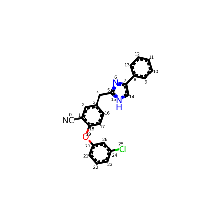 N#Cc1cc(Cc2nc(-c3ccccc3)c[nH]2)ccc1Oc1cccc(Cl)c1